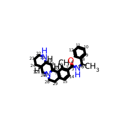 Cc1c(C(=O)N[C@H](C)c2ccccc2)ccc2c1[C@H]1C[C@@H]3NCCC[C@@H]3CN1CC2